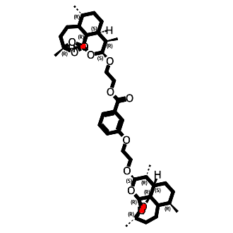 C[C@H]1[C@@H](OCCOC(=O)c2cccc(OCCO[C@H]3O[C@@H]4O[C@@]5(C)CCC6[C@H](C)CC[C@@H]([C@H]3C)[C@]64OO5)c2)O[C@@H]2O[C@@]3(C)CCC4[C@H](C)CC[C@@H]1[C@]42OO3